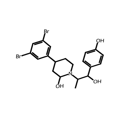 CC(C(O)c1ccc(O)cc1)N1CCC(c2cc(Br)cc(Br)c2)CC1O